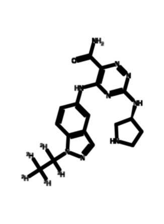 [2H]C([2H])([2H])C([2H])([2H])n1ncc2cc(Nc3nc(N[C@H]4CCNC4)nnc3C(N)=O)ccc21